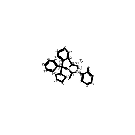 Cc1ccccc1N1C(C)N2C(c3ccccc3C2(c2ccccc2)C2CCCC2)[C@@H]1C